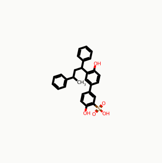 CC(CC(c1ccccc1)c1cc(-c2ccc(O)c(S(=O)(=O)O)c2)ccc1O)c1ccccc1